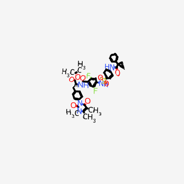 Cc1c(C)n(C)c(=O)n(-c2ccc(C[C@H](NC(=O)c3cc(F)c(NS(=O)(=O)c4ccc(NC(=O)C5(c6ccccc6)CC5)cc4)cc3F)C(=O)OC(C)C)cc2)c1=O